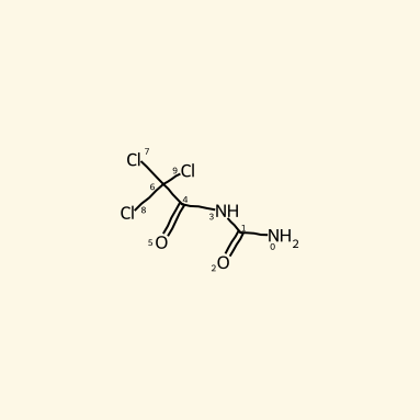 NC(=O)NC(=O)C(Cl)(Cl)Cl